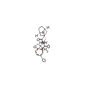 CC1(NC(=O)CN2[C@@H]3CC[C@H]2C[C@H](CNC(=O)c2cccc(Cl)c2)C3)COC1